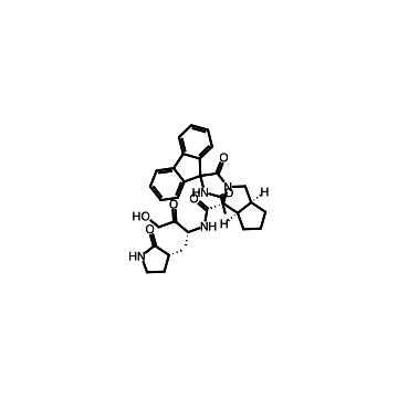 CC(=O)NC1(C(=O)N2C[C@H]3CCC[C@H]3[C@@H]2C(=O)N[C@H](C[C@@H]2CCNC2=O)C(=O)CO)c2ccccc2-c2ccccc21